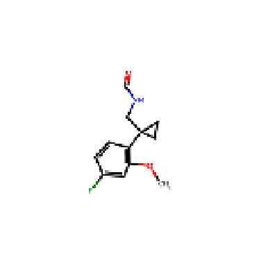 COc1cc(F)ccc1C1(CNC=O)CC1